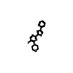 Fc1cnc(-c2nc(-c3ccccn3)cs2)nc1N1CCOCC1